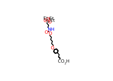 CCO[Si](CCCNC(=O)OCCCCCCOc1ccc(CC=CC(=O)O)cc1)(OCC)OCC